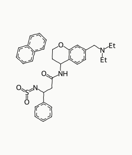 CCN(CC)Cc1ccc2c(c1)OCCC2NC(=O)CC(N=S(=O)=O)c1ccccc1.c1ccc2ccccc2c1